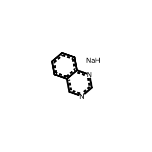 [NaH].c1ccc2ncncc2c1